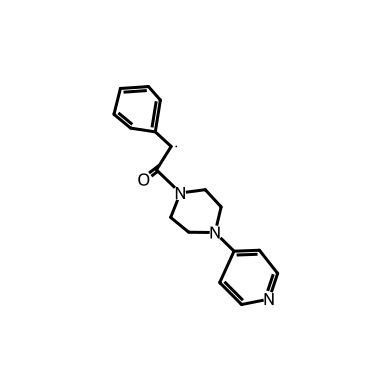 O=C([CH]c1ccccc1)N1CCN(c2ccncc2)CC1